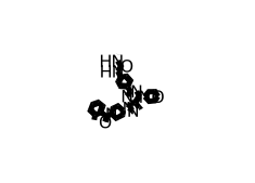 CNC(=O)Nc1ccc(-c2nc(N3CCOCC3)c3cnn(C4CCN(C(=O)c5ccccc5C)CC4)c3n2)cc1